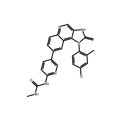 C=C1Nc2cnc3ccc(-c4ccc(NC(=O)NC)nc4)cc3c2N1c1ccc(Cl)cc1C